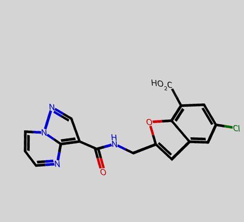 O=C(O)c1cc(Cl)cc2cc(CNC(=O)c3cnn4cccnc34)oc12